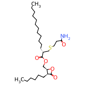 CCCCCCCCCCCC[C@H](CSCCC(N)=O)C(=O)OC[C@H]1OC(=O)[C@H]1CCCCCC